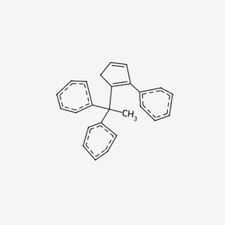 CC(C1=C(c2ccccc2)C=CC1)(c1ccccc1)c1ccccc1